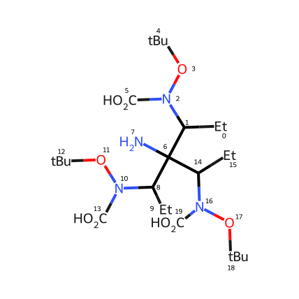 CCC(N(OC(C)(C)C)C(=O)O)C(N)(C(CC)N(OC(C)(C)C)C(=O)O)C(CC)N(OC(C)(C)C)C(=O)O